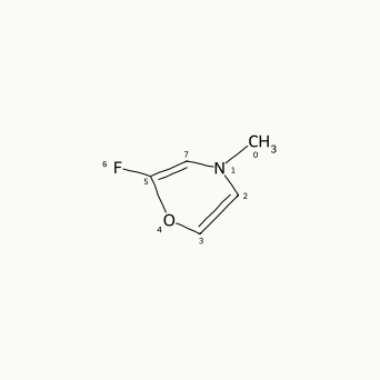 CN1C=COC(F)=C1